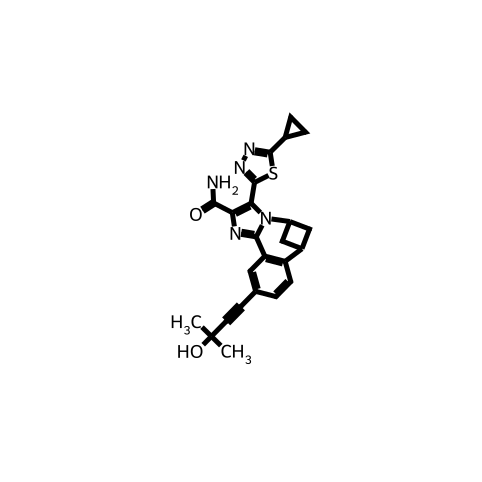 CC(C)(O)C#Cc1ccc2c(c1)-c1nc(C(N)=O)c(-c3nnc(C4CC4)s3)n1C1CC2C1